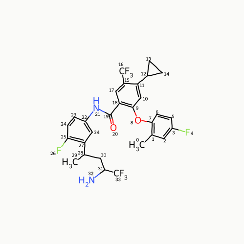 Cc1cc(F)ccc1Oc1cc(C2CC2)c(C(F)(F)F)cc1C(=O)Nc1ccc(F)c(C(C)CC(N)C(F)(F)F)c1